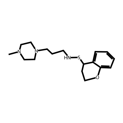 CN1CCN(CCCNSC2CCOc3ccccc32)CC1